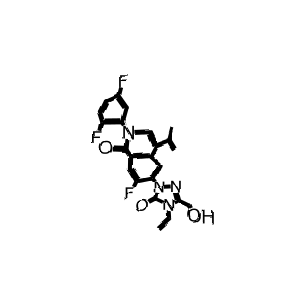 C=C(C)c1cn(-c2cc(F)ccc2F)c(=O)c2cc(F)c(-n3nc(CO)n(CC)c3=O)cc12